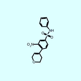 O=[N+]([O-])c1cc(S(=O)(=O)Nc2ccccc2)ccc1C1=CCOCC1